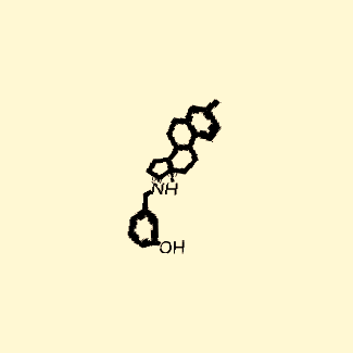 Cc1ccc2c(c1)CCC1C2CC[C@@]2(C)C1CC[C@H]2NCc1cccc(O)c1